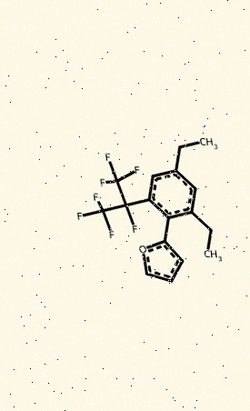 CCc1[c]c(CC)c(-c2ccco2)c(C(F)(C(F)(F)F)C(F)(F)F)c1